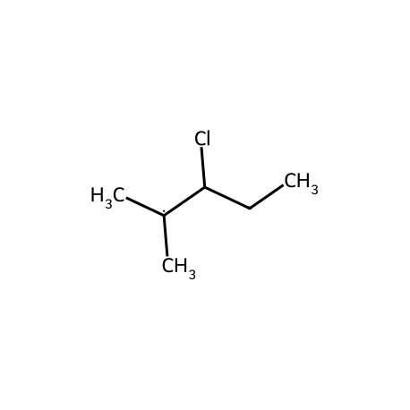 CCC(Cl)[C](C)C